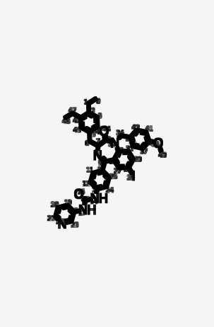 CCc1ccc(CC2N=C(c3ccc(NC(=O)Nc4cccnc4)cc3)c3cc(I)ccc3N(Cc3ccc(OC)cc3)C2=O)cc1CC